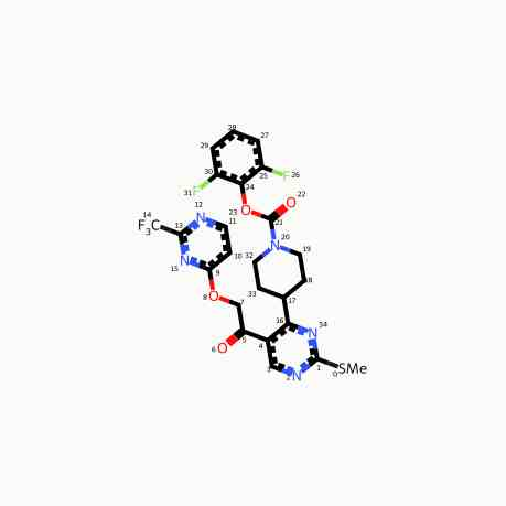 CSc1ncc(C(=O)COc2ccnc(C(F)(F)F)n2)c(C2CCN(C(=O)Oc3c(F)cccc3F)CC2)n1